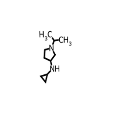 CC(C)N1CCC(NC2CC2)C1